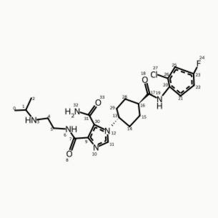 CC(C)NCCNC(=O)c1ncn([C@H]2CC[C@H](C(=O)Nc3ccc(F)cc3Cl)CC2)c1C(N)=O